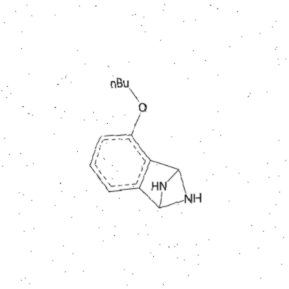 CCCCOc1cccc2c1C1NC2N1